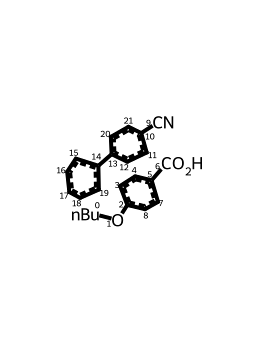 CCCCOc1ccc(C(=O)O)cc1.N#Cc1ccc(-c2ccccc2)cc1